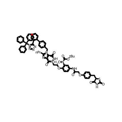 CCCc1nc2c(=O)n(CCOc3ccc(NC(=O)COc4ccc(CC5SC(=O)NC5=O)cc4)cc3N(C)C(=O)OC(C)(C)C)[nH]c(=O)c2n1Cc1ccc(-c2ccccc2-c2nnnn2C(c2ccccc2)(c2ccccc2)c2ccccc2)cc1